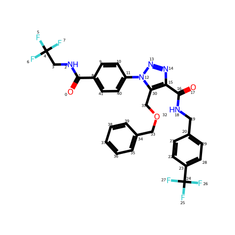 O=C(NCC(F)(F)F)c1ccc(-n2nnc(C(=O)NCc3ccc(C(F)(F)F)cc3)c2COCc2ccccc2)cc1